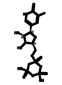 Cc1cc([C@@H]2O[C@H](COP3(=O)CP(=O)(O)OP(=O)(O)O3)C(O)[C@@H]2O)c[nH]c1=O